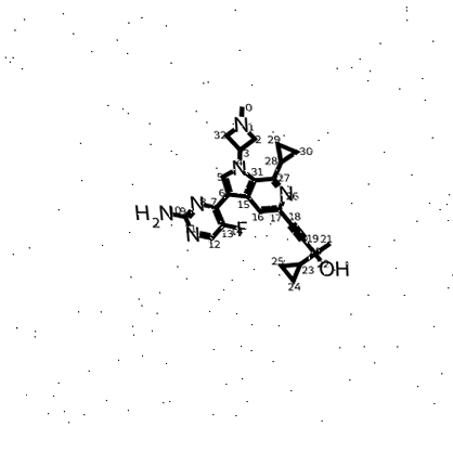 CN1CC(n2cc(-c3nc(N)ncc3F)c3cc(C#CC(C)(O)C4CC4)nc(C4CC4)c32)C1